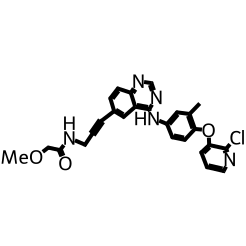 COCC(=O)NCC#Cc1ccc2ncnc(Nc3ccc(Oc4cccnc4Cl)c(C)c3)c2c1